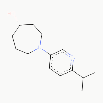 CC(C)c1ccc(N2CCC[C@H](O)CC2)cn1